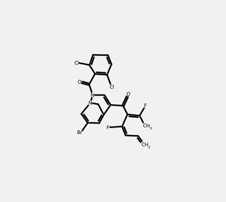 C=C/C=C(F)\C(C(=O)C1=CN(C(=O)c2c(Cl)cccc2Cl)N2C=C(Br)C=C1C2)=C(/C)F